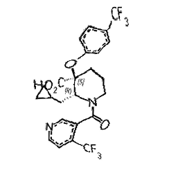 O=C(c1cnccc1C(F)(F)F)N1CCC[C@@](Oc2ccc(C(F)(F)F)cc2)(C(=O)O)[C@H]1CC1CC1